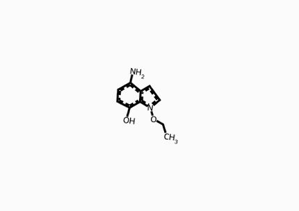 CCOn1ccc2c(N)ccc(O)c21